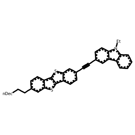 CCCCCCCCCCCCc1ccc2c(c1)sc1c3ccc(C#Cc4ccc5c(c4)c4ccccc4n5CC)cc3sc21